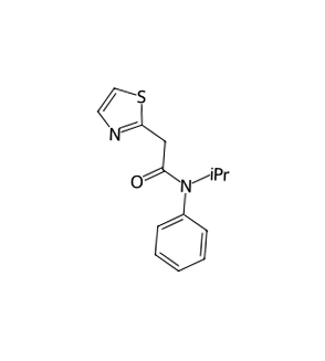 CC(C)N(C(=O)Cc1nccs1)c1ccccc1